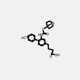 Cl.O=C(O)CCCc1ccc(-c2ccccc2)c(NC(=O)OC23CCN(CC2)CC3)c1